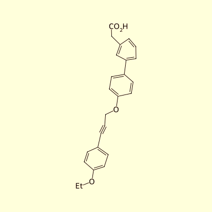 CCOc1ccc(C#CCOc2ccc(-c3cccc(CC(=O)O)c3)cc2)cc1